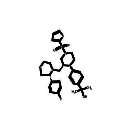 CC(C)(O)c1ccc(N2CCN(S(=O)(=O)c3cccs3)C[C@@H]2CN2CCOC[C@H]2c2ccc(F)cc2)cc1